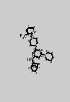 FC(F)(F)c1cccnc1N1CCN(c2nc(NC3CC4CCC3C4)cc(N3CCCCC3)n2)CC1